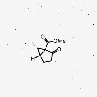 COC(=O)[C@@]12C(=O)CC[C@@H]1[C@@H]2C